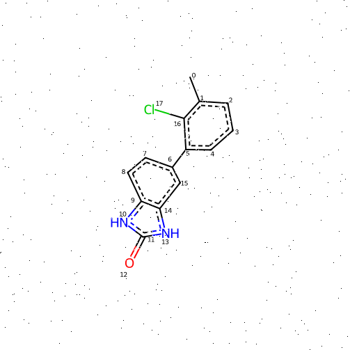 Cc1cccc(-c2ccc3[nH]c(=O)[nH]c3c2)c1Cl